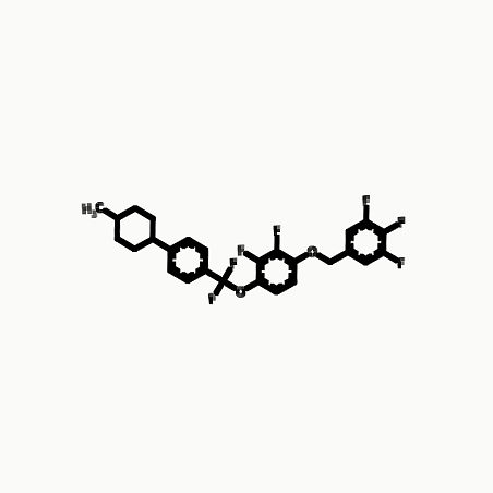 CC1CCC(c2ccc(C(F)(F)Oc3ccc(OCc4cc(F)c(F)c(F)c4)c(F)c3F)cc2)CC1